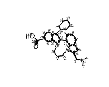 CN(C)Cc1cc2cccc3c2n1CCCn1c-3c(C2CCCCC2)c2ccc(C(=O)O)cc21